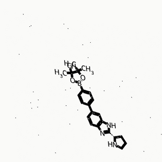 CC1(C)OB(c2ccc(-c3ccc4nc([C@@H]5CCCN5)[nH]c4c3)cc2)OC1(C)C